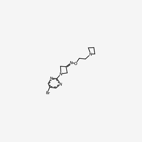 Brc1cnc(N2CC(=NOCCN3CCC3)C2)nc1